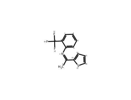 CC(=Nc1ccccc1C(F)(F)F)c1cccs1